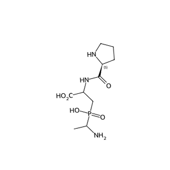 CC(N)P(=O)(O)CC(NC(=O)[C@@H]1CCCN1)C(=O)O